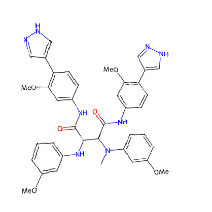 COc1cccc(NC(C(=O)Nc2ccc(-c3cn[nH]c3)c(OC)c2)C(C(=O)Nc2ccc(-c3cn[nH]c3)c(OC)c2)N(C)c2cccc(OC)c2)c1